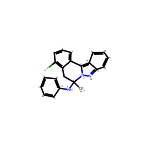 Fc1cccc2c1CC(Nc1ccccc1)(C(F)(F)F)n1nc3ccccc3c1-2